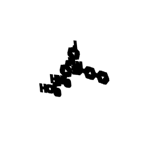 O=C(O)CCNC(=O)c1ccc(CN(c2ccc(I)cc2)c2nc(-c3ccc(-c4ccccc4)cc3)cs2)cc1